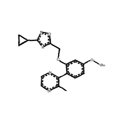 Cc1nccnc1-c1ccc(OC(C)(C)C)cc1OCc1nc(C2CC2)no1